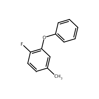 Cc1[c]cc(F)c(Oc2ccccc2)c1